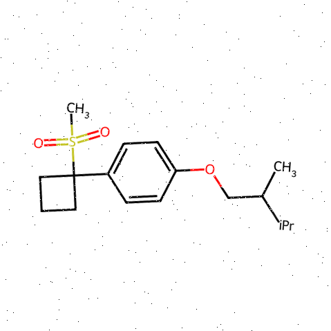 CC(C)C(C)COc1ccc(C2(S(C)(=O)=O)CCC2)cc1